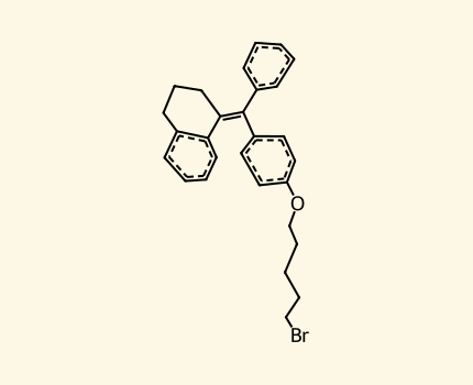 BrCCCCCOc1ccc(C(=C2CCCc3ccccc32)c2ccccc2)cc1